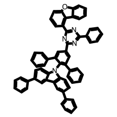 c1ccc(-c2ccc3c(c2)c2cc(-c4ccccc4)ccc2n3-c2c(-c3ccccc3)cc(-c3nc(-c4ccccc4)nc(-c4cccc5oc6ccccc6c45)n3)cc2-c2ccccc2)cc1